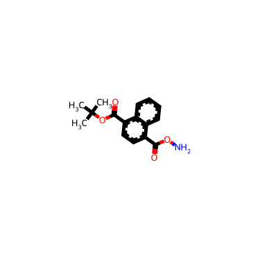 CC(C)(C)OC(=O)c1ccc(C(=O)ON)c2ccccc12